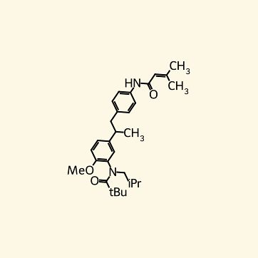 COc1ccc(C(C)Cc2ccc(NC(=O)C=C(C)C)cc2)cc1N(CC(C)C)C(=O)C(C)(C)C